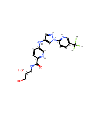 O=C(NC[C@@H](O)CO)c1ccc(Nc2cnn(-c3ccc(C(F)(F)F)cn3)c2)cn1